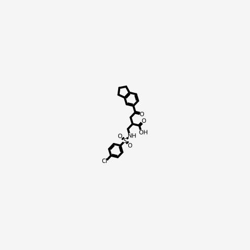 O=C(CC(CNS(=O)(=O)c1ccc(Cl)cc1)C(=O)O)c1ccc2c(c1)CCC2